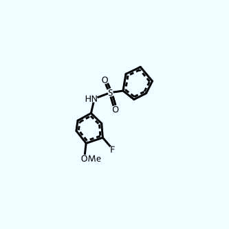 COc1ccc(NS(=O)(=O)c2ccccc2)cc1F